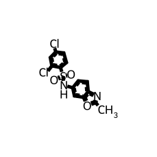 Cc1nc2ccc(NS(=O)(=O)c3ccc(Cl)cc3Cl)cc2o1